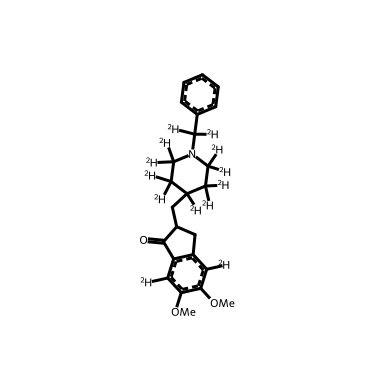 [2H]c1c2c(c([2H])c(OC)c1OC)C(=O)C(CC1([2H])C([2H])([2H])C([2H])([2H])N(C([2H])([2H])c3ccccc3)C([2H])([2H])C1([2H])[2H])C2